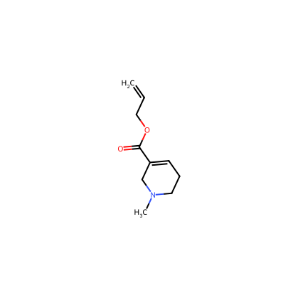 C=CCOC(=O)C1=CCCN(C)C1